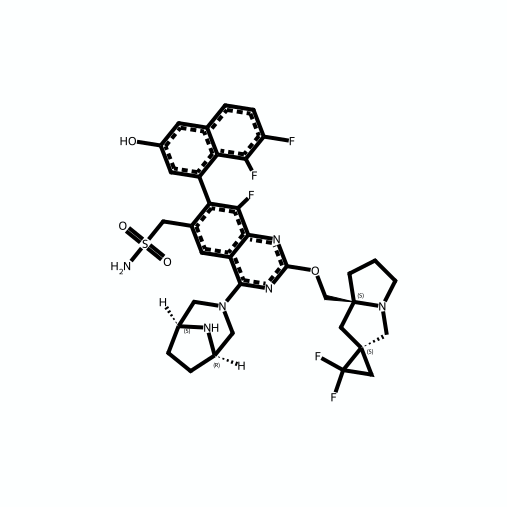 NS(=O)(=O)Cc1cc2c(N3C[C@H]4CC[C@@H](C3)N4)nc(OC[C@@]34CCCN3C[C@@]3(CC3(F)F)C4)nc2c(F)c1-c1cc(O)cc2ccc(F)c(F)c12